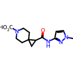 Cn1ccc(NC(=O)C2CC23CCN(C(=O)O)CC3)n1